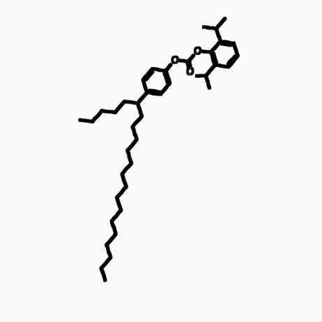 CCCCCCCCCCCCCCCC(CCCCC)c1ccc(OC(=O)Oc2c(C(C)C)cccc2C(C)C)cc1